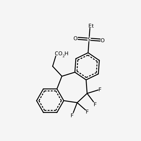 CCS(=O)(=O)c1ccc2c(c1)C(CC(=O)O)c1ccccc1C(F)(F)C2(F)F